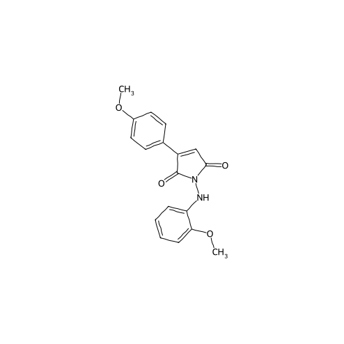 COc1ccc(C2=CC(=O)N(Nc3ccccc3OC)C2=O)cc1